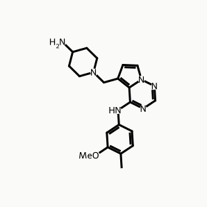 COc1cc(Nc2ncnn3ccc(CN4CCC(N)CC4)c23)ccc1C